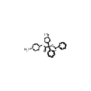 Br.CN1CCC(OC(=O)C(OC(=O)c2ccccc2)(c2ccccc2)C2CCCC2)CC1